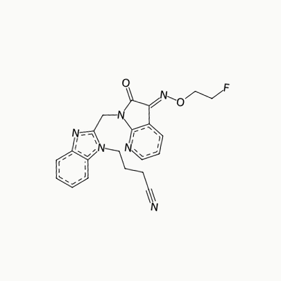 N#CCCCn1c(CN2C(=O)/C(=N/OCCF)c3cccnc32)nc2ccccc21